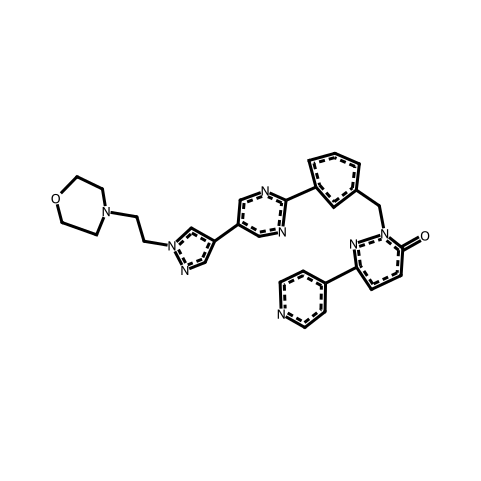 O=c1ccc(-c2ccncc2)nn1Cc1cccc(-c2ncc(-c3cnn(CCN4CCOCC4)c3)cn2)c1